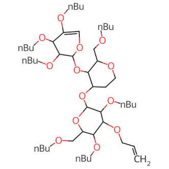 C=CCOC1C(OCCCC)C(COCCCC)OC(OC2CCOC(COCCCC)C2OC2OC=C(OCCCC)C(OCCCC)C2OCCCC)C1OCCCC